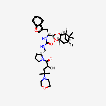 CC1(C)[C@@H]2C[C@H]3OB([C@H](Cc4coc5ccccc45)NC(=O)NC[C@H]4CCCN4C(=O)C(C#N)CC(C)(C)N4CCOCC4)O[C@@]3(C)[C@H]1C2